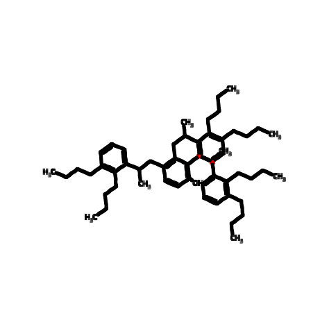 CCCCc1cccc(C(C)Cc2ccc(O)c(CC(C)c3cccc(CCCC)c3CCCC)c2CC(C)c2cccc(CCCC)c2CCCC)c1CCCC